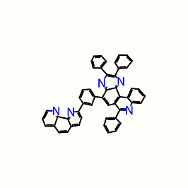 c1ccc(-c2nc3c(-c4cccc(-c5ccc6ccc7cccnc7c6n5)c4)cc4c(-c5ccccc5)nc5ccccc5c4c3nc2-c2ccccc2)cc1